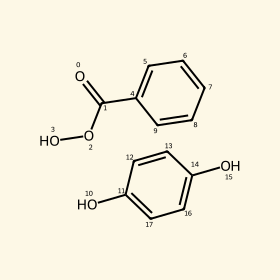 O=C(OO)c1ccccc1.Oc1ccc(O)cc1